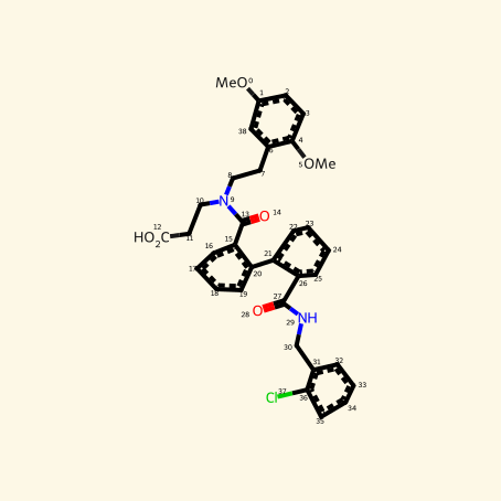 COc1ccc(OC)c(CCN(CCC(=O)O)C(=O)c2ccccc2-c2ccccc2C(=O)NCc2ccccc2Cl)c1